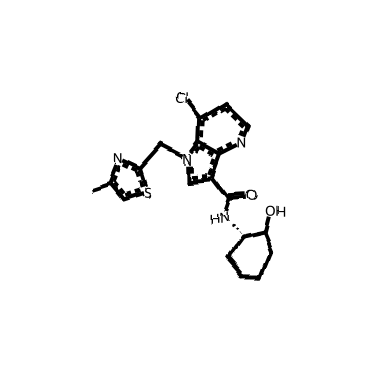 Cc1csc(Cn2cc(C(=O)N[C@H]3CCCCC3O)c3nccc(Cl)c32)n1